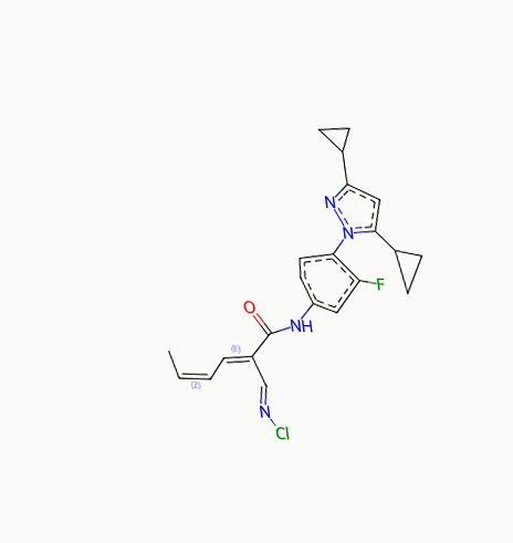 C/C=C\C=C(/C=NCl)C(=O)Nc1ccc(-n2nc(C3CC3)cc2C2CC2)c(F)c1